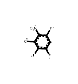 O=[N+]([O-])c1c(F)cc(F)c(F)c1Cl